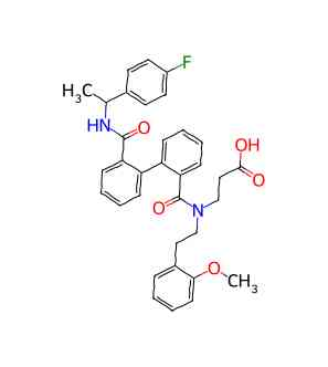 COc1ccccc1CCN(CCC(=O)O)C(=O)c1ccccc1-c1ccccc1C(=O)NC(C)c1ccc(F)cc1